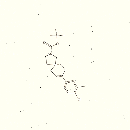 CC(C)(C)OC(=O)N1CCC2(CC=C(c3ccc(Cl)c(F)c3)CC2)C1